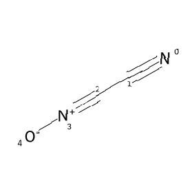 N#CC#[N+][O-]